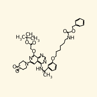 C[C@@H](Nc1ncnc2c(OCC(=O)OC(C)(C)C)nc(N3CCS(=O)(=O)CC3)cc12)c1cccc(OCCCCCCNC(=O)OCc2ccccc2)c1